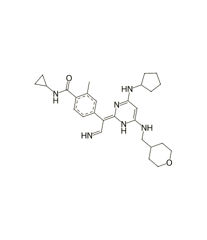 Cc1cc(/C(C=N)=C2\N=C(NC3CCCC3)C=C(NCC3CCOCC3)N2)ccc1C(=O)NC1CC1